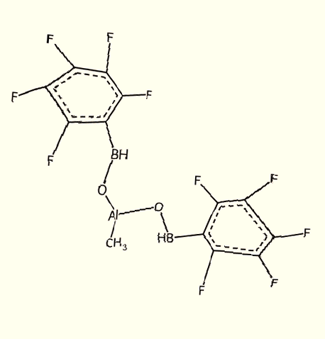 [CH3][Al]([O]Bc1c(F)c(F)c(F)c(F)c1F)[O]Bc1c(F)c(F)c(F)c(F)c1F